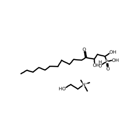 CCCCCCCCCCCC(=O)C(O)CC(O)P(=O)(O)O.C[N+](C)(C)CCO